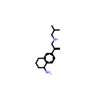 C=C(CNCC(C)C)c1ccc2c(c1)CCCC2N